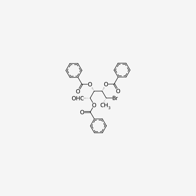 C[C@@H](Br)[C@@H](OC(=O)c1ccccc1)[C@@H](OC(=O)c1ccccc1)[C@@H](C=O)OC(=O)c1ccccc1